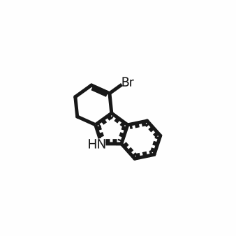 BrC1=CCCc2[nH]c3ccccc3c21